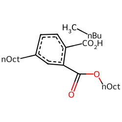 CCCCC.CCCCCCCCOC(=O)c1cc(CCCCCCCC)ccc1C(=O)O